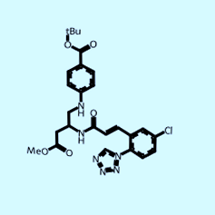 COC(=O)CC(CNc1ccc(C(=O)OC(C)(C)C)cc1)NC(=O)C=Cc1cc(Cl)ccc1-n1cnnn1